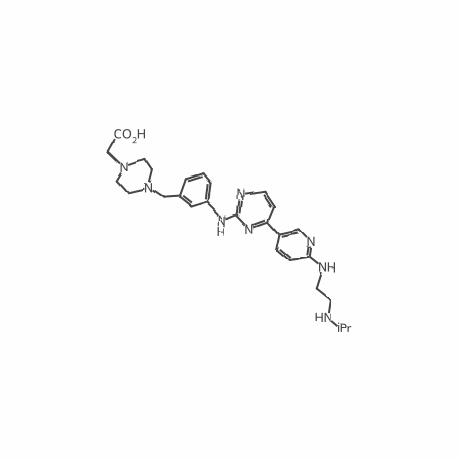 CC(C)NCCNc1ccc(-c2ccnc(Nc3cccc(CN4CCN(CC(=O)O)CC4)c3)n2)cn1